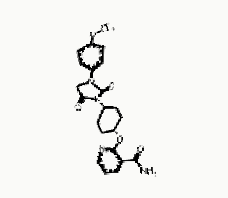 NC(=O)c1cccnc1O[C@H]1CC[C@H](N2C(=O)CN(c3ccc(OC(F)(F)F)cc3)C2=O)CC1